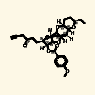 C#CC[C@H](Cl)CC[C@]12O[C@H]3[C@H]4O[C@@H](CC)CC[C@@H]4OC4[C@H]3O[C@]3(O[C@@H](c5ccc(OC)cc5)O[C@@H]13)[C@H]4O2